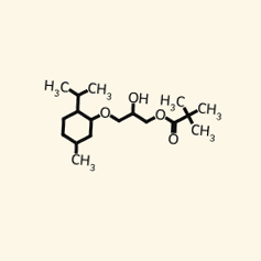 CC1CCC(C(C)C)C(OCC(O)COC(=O)C(C)(C)C)C1